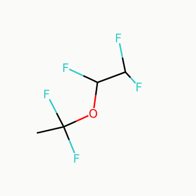 CC(F)(F)OC(F)C(F)F